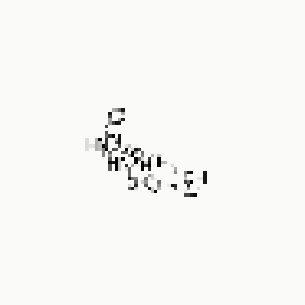 CN1C(=O)C(NC(=O)c2n[nH]c(Cc3ccccc3)n2)COc2ccc(C#CC3(O)CCC3)cc21